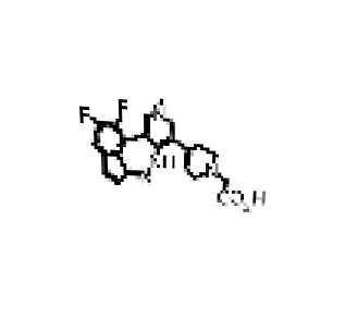 CN1C=C2C(=C(C3=CCN(CC(=O)O)CC3)C1)NN=C1C=Cc3cc(F)c(F)c2c31